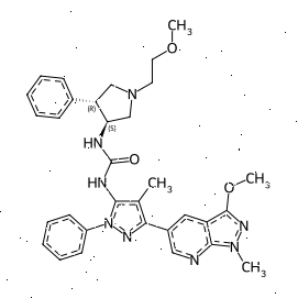 COCCN1C[C@@H](NC(=O)Nc2c(C)c(-c3cnc4c(c3)c(OC)nn4C)nn2-c2ccccc2)[C@H](c2ccccc2)C1